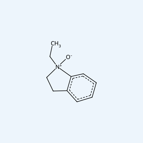 CC[N+]1([O-])CCc2ccccc21